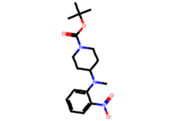 CN(c1ccccc1[N+](=O)[O-])C1CCN(C(=O)OC(C)(C)C)CC1